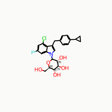 OC[C@H]1OC(n2cc(Cc3ccc(C4CC4)cc3)c3c(Cl)cc(F)cc32)[C@H](O)[C@@H](O)[C@@H]1O